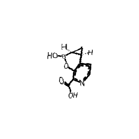 O=C(O)c1nccc2c1OB(O)[C@H]1C[C@@H]21